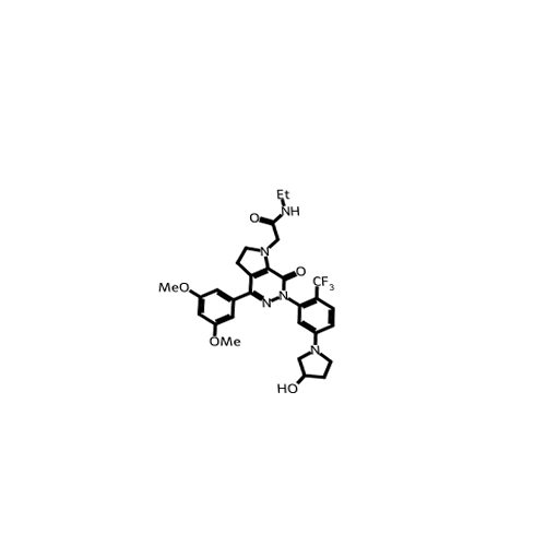 CCNC(=O)CN1CCc2c(-c3cc(OC)cc(OC)c3)nn(-c3cc(N4CCC(O)C4)ccc3C(F)(F)F)c(=O)c21